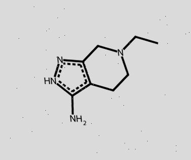 CCN1CCc2c(n[nH]c2N)C1